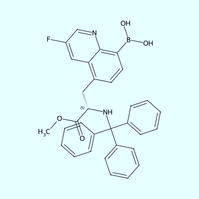 COC(=O)[C@H](Cc1ccc(B(O)O)c2ncc(F)cc12)NC(c1ccccc1)(c1ccccc1)c1ccccc1